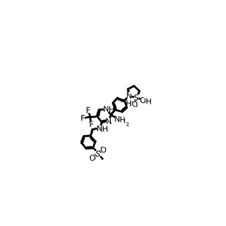 CS(=O)(=O)c1cccc(CNC2=NC(N)(c3ccc(N4CCCS4(O)O)cc3)NC=C2C(F)(F)F)c1